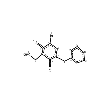 O=CCn1c(=O)c(Br)cn(Cc2ccccc2)c1=O